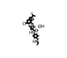 CCNCc1ccc(NC(=O)c2cc(C)n(Cc3cc(Cl)cc4cc(C(C)C)oc34)n2)cc1.Cl